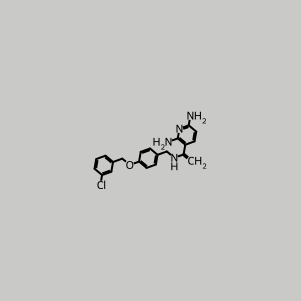 C=C(NCc1ccc(OCc2cccc(Cl)c2)cc1)c1ccc(N)nc1N